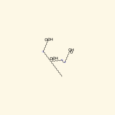 CCCCCCCCCCCCCC(CCCCCCCC/C=C\CCCCCCCC(=O)O)C(CCCCC/C=C\C/C=C\CCCCCCCC(=O)O)C(=O)O